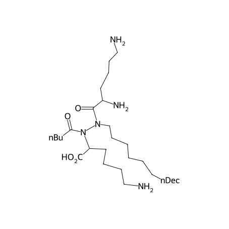 CCCCCCCCCCCCCCCCN(C(=O)C(N)CCCCN)N(C(=O)CCCC)C(CCCCN)C(=O)O